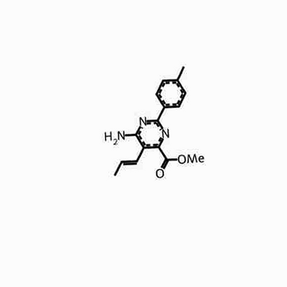 C/C=C/c1c(N)nc(-c2ccc(C)cc2)nc1C(=O)OC